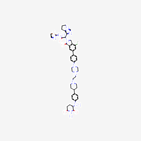 O=C1CC[C@@H](Nc2ccc(C3CCN(CCN4CCN(c5ccc(-c6cc(F)c7c(c6)C(=O)N(C(C(=O)Nc6nccs6)c6ncn8c6CCC8)C7)cc5)CC4)CC3)cc2)C(=O)N1